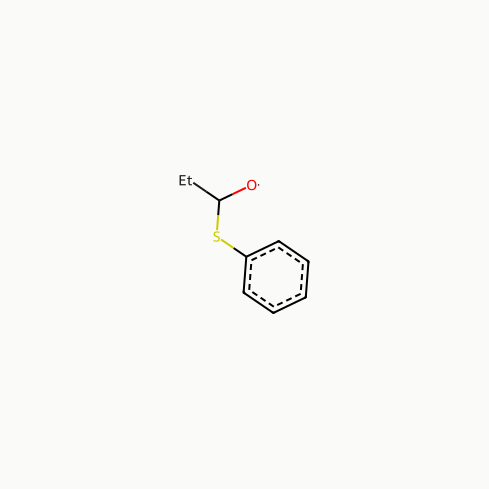 CCC([O])Sc1ccccc1